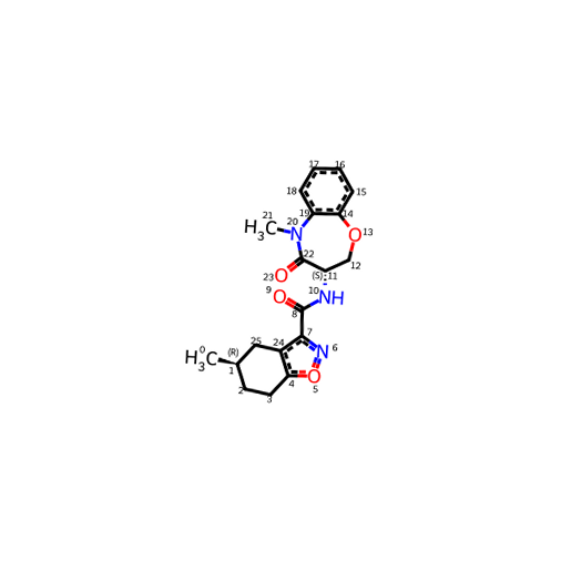 C[C@@H]1CCc2onc(C(=O)N[C@H]3COc4ccccc4N(C)C3=O)c2C1